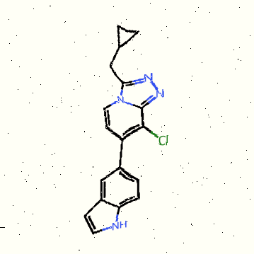 Clc1c(-c2ccc3[nH]ccc3c2)ccn2c(CC3CC3)nnc12